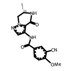 COc1ccc(C(=O)Nc2cnn3c2C(=O)N[C@@H](C)C3)cc1C#N